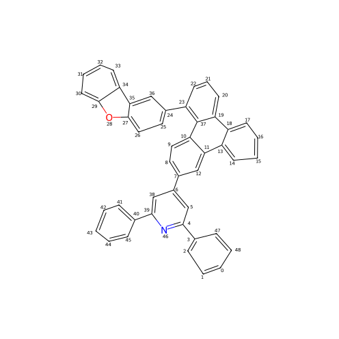 c1ccc(-c2cc(-c3ccc4c(c3)c3ccccc3c3cccc(-c5ccc6oc7ccccc7c6c5)c34)cc(-c3ccccc3)n2)cc1